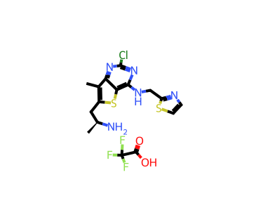 Cc1c(C[C@H](C)N)sc2c(NCc3nccs3)nc(Cl)nc12.O=C(O)C(F)(F)F